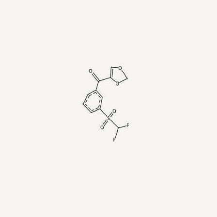 O=C(C1=COCO1)c1cccc(S(=O)(=O)C(F)F)c1